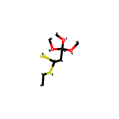 CCSC(S)C[Si](OC)(OC)OC